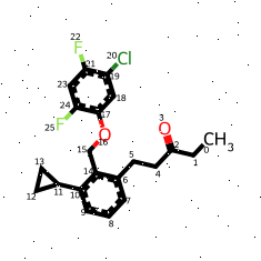 CCC(=O)CCc1cccc(C2CC2)c1COc1cc(Cl)c(F)cc1F